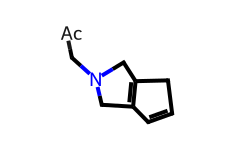 CC(=O)CN1CC2=C(CC=C2)C1